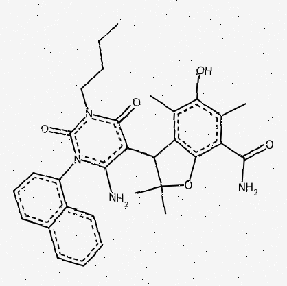 CCCCn1c(=O)c(C2c3c(C)c(O)c(C)c(C(N)=O)c3OC2(C)C)c(N)n(-c2cccc3ccccc23)c1=O